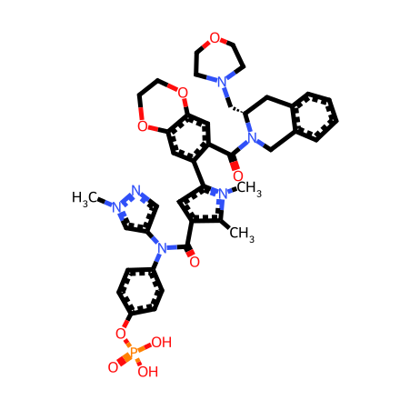 Cc1c(C(=O)N(c2ccc(OP(=O)(O)O)cc2)c2cnn(C)c2)cc(-c2cc3c(cc2C(=O)N2Cc4ccccc4C[C@H]2CN2CCOCC2)OCCO3)n1C